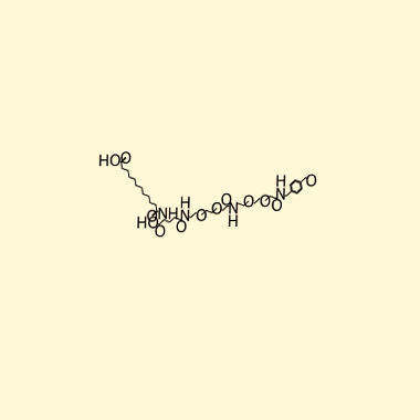 O=Cc1ccc(CNC(=O)COCCOCCNC(=O)COCCOCCNC(=O)CCC(NC(=O)CCCCCCCCCCC(=O)O)C(=O)O)cc1